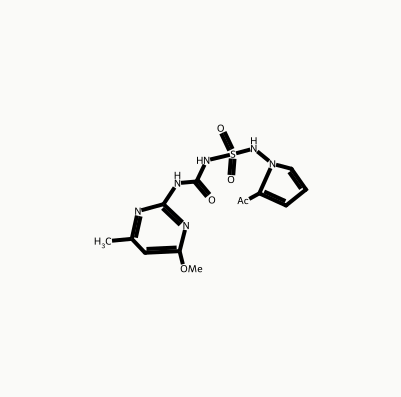 COc1cc(C)nc(NC(=O)NS(=O)(=O)Nn2cccc2C(C)=O)n1